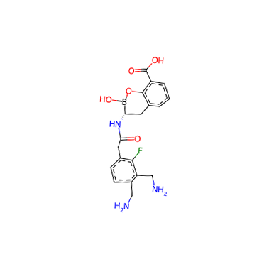 NCc1ccc(CC(=O)N[C@H]2Cc3cccc(C(=O)O)c3OB2O)c(F)c1CN